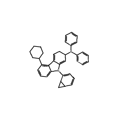 C1=CC2CC2C(n2c3c(c4c(C5CCCCC5)cccc42)=CCC(N(c2ccccc2)c2ccccc2)C=3)=C1